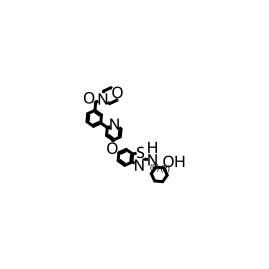 O=C(c1cccc(-c2cc(Oc3ccc4nc(N[C@@H]5CCCC[C@H]5O)sc4c3)ccn2)c1)N1CCOCC1